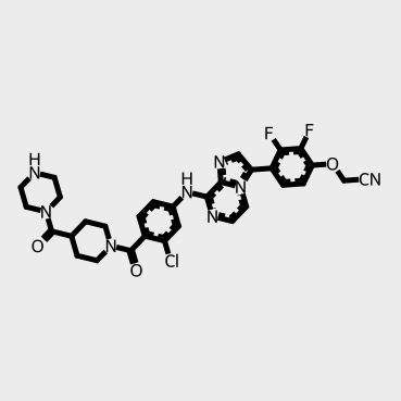 N#CCOc1ccc(-c2cnc3c(Nc4ccc(C(=O)N5CCC(C(=O)N6CCNCC6)CC5)c(Cl)c4)nccn23)c(F)c1F